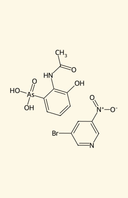 CC(=O)Nc1c(O)cccc1[As](=O)(O)O.O=[N+]([O-])c1cncc(Br)c1